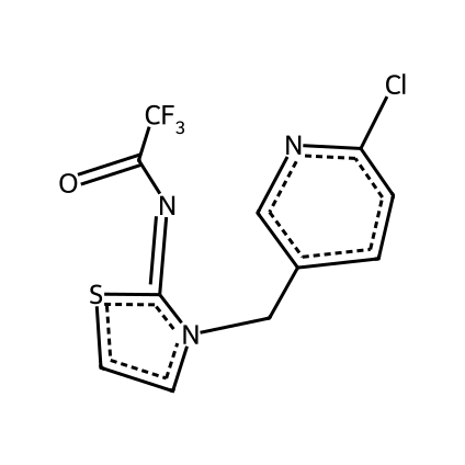 O=C(N=c1sccn1Cc1ccc(Cl)nc1)C(F)(F)F